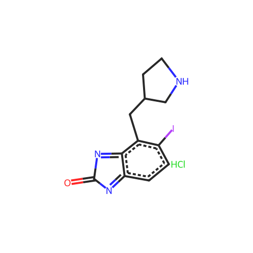 Cl.O=C1N=c2ccc(I)c(CC3CCNC3)c2=N1